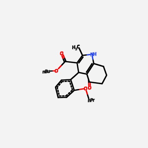 CCCCOC(=O)C1=C(C)NC2=C(C(=O)CCC2)C1c1ccccc1OCCC